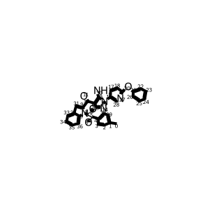 Cc1ccc(S(=O)(=O)n2c(C(=O)c3cnn(-c4ccc(Oc5ccccc5)nc4)c3N)cc3ccccc32)cc1